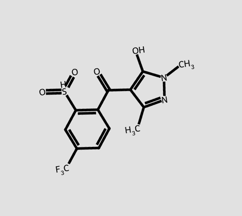 Cc1nn(C)c(O)c1C(=O)c1ccc(C(F)(F)F)cc1[SH](=O)=O